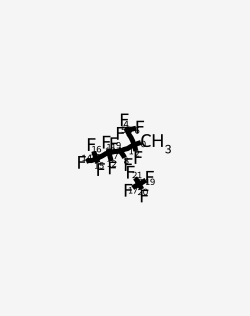 CC(F)(C(F)(F)F)C(F)(F)C(F)(F)C(F)(F)F.FC(F)(F)F